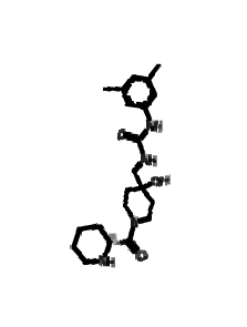 Cc1cc(C)cc(NC(=O)NCC2(O)CCN(C(=O)[C@H]3CCCCN3)CC2)c1